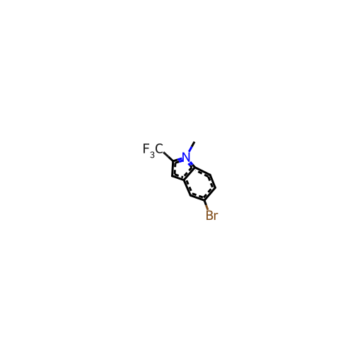 Cn1c(C(F)(F)F)cc2cc(Br)ccc21